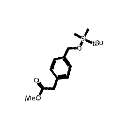 COC(=O)Cc1ccc(CO[Si](C)(C)C(C)(C)C)cc1